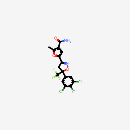 Cc1oc(C2=NOC(c3cc(Cl)c(Cl)c(Cl)c3)(C(F)(F)F)C2)cc1C(N)=O